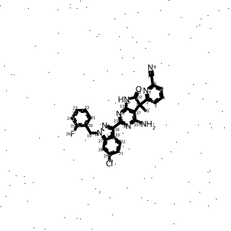 CC1(c2cccc(C#N)n2)C(=O)Nc2nc(-c3nn(Cc4ccccc4F)c4cc(Cl)ccc34)nc(N)c21